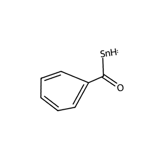 O=[C]([SnH])c1ccccc1